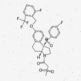 CS(=O)(=O)CC(=O)N1CC[C@@]2(S(=O)(=O)c3ccc(F)cc3)c3ccc(OCc4c(F)cccc4C(F)(F)F)cc3CC[C@@H]12